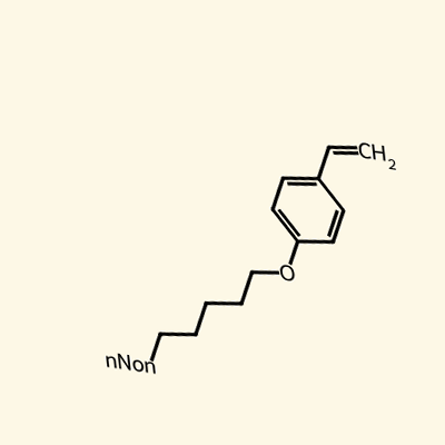 C=Cc1ccc(OCCCCCCCCCCCCCC)cc1